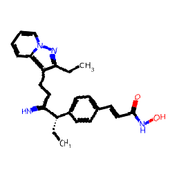 CCc1nn2ccccc2c1CCC(=N)[C@@H](CC)c1ccc(/C=C/C(=O)NO)cc1